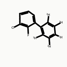 [2H]c1c([2H])c([2H])c(-c2cccc(Cl)c2F)c([2H])c1[2H]